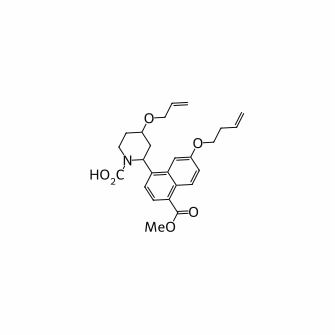 C=CCCOc1ccc2c(C(=O)OC)ccc(C3CC(OCC=C)CCN3C(=O)O)c2c1